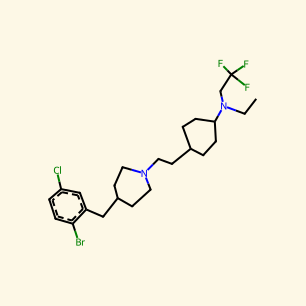 CCN(CC(F)(F)F)C1CCC(CCN2CCC(Cc3cc(Cl)ccc3Br)CC2)CC1